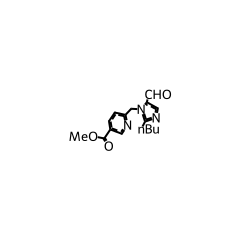 CCCCc1ncc(C=O)n1Cc1ccc(C(=O)OC)cn1